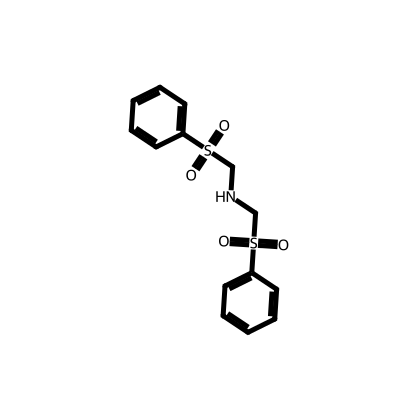 O=S(=O)(CNCS(=O)(=O)c1ccccc1)c1ccccc1